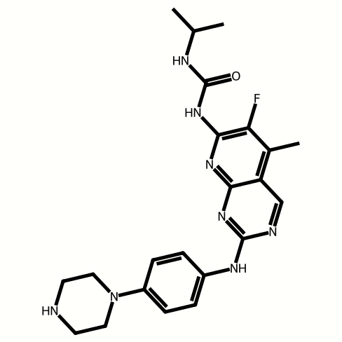 Cc1c(F)c(NC(=O)NC(C)C)nc2nc(Nc3ccc(N4CCNCC4)cc3)ncc12